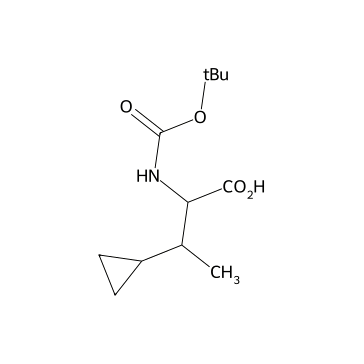 CC(C1CC1)C(NC(=O)OC(C)(C)C)C(=O)O